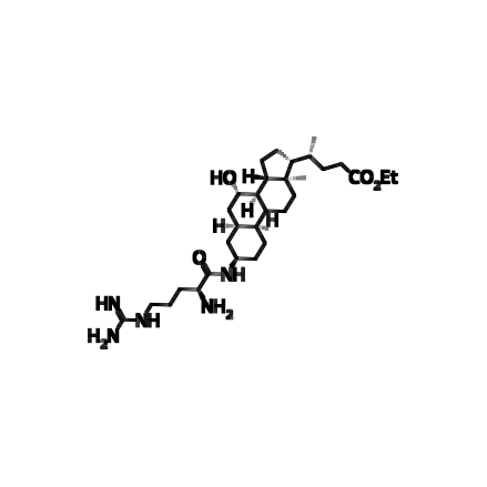 CCOC(=O)CC[C@@H](C)[C@H]1CC[C@H]2[C@@H]3[C@@H](O)C[C@@H]4C[C@H](NC(=O)[C@@H](N)CCCNC(=N)N)CC[C@]4(C)[C@H]3CC[C@]12C